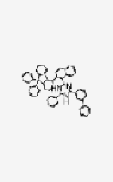 c1ccc(-c2cccc(C3=NC(c4c(-c5cccc6c5-c5ccccc5C6(c5ccccc5)c5ccccc5)ccc5ccccc45)NC(c4ccccc4)N3)c2)cc1